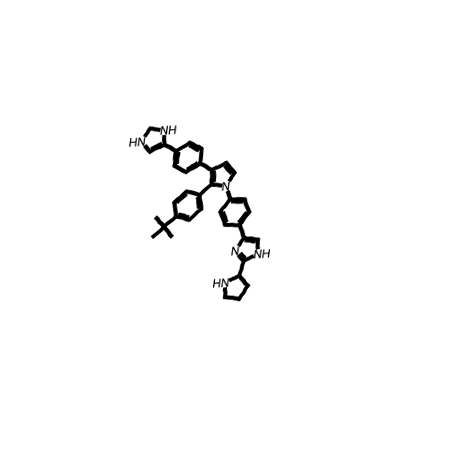 CC(C)(C)c1ccc(-c2c(-c3ccc(C4=CNCN4)cc3)ccn2-c2ccc(-c3c[nH]c(C4CCCN4)n3)cc2)cc1